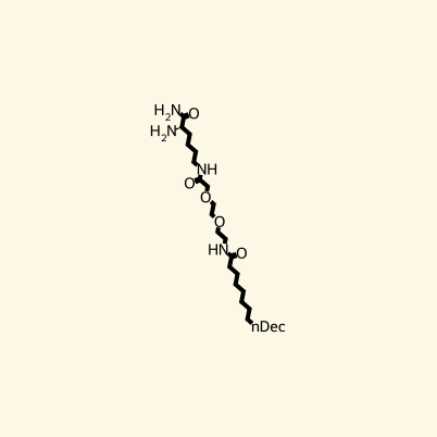 CCCCCCCCCCCCCCCCCC(=O)NCCOCCOCC(=O)NCCCC[C@H](N)C(N)=O